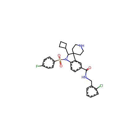 O=C(NCc1ccccc1Cl)c1ccc2c(c1)C1(CCNCC1)C(C1CCC1)N2S(=O)(=O)c1ccc(F)cc1